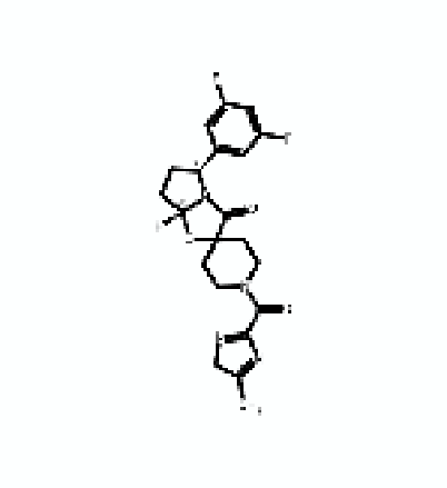 CC1=NC(C(=O)N2CCC3(CC2)O[C@@H]2CC[C@@H](c4cc(F)cc(F)c4)N2C3=O)=NC1